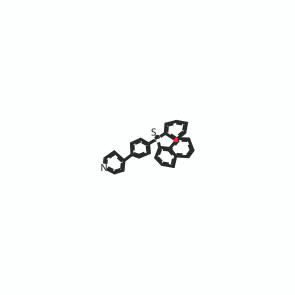 S=P(c1ccccc1)(c1ccc(-c2ccncc2)cc1)c1cccc2ccccc12